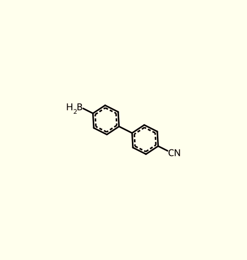 Bc1ccc(-c2ccc(C#N)cc2)cc1